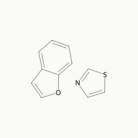 c1ccc2occc2c1.c1cscn1